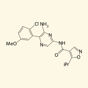 COc1ccc(Cl)c(-c2ncc(NC(=O)c3cnoc3C(C)C)nc2N)c1